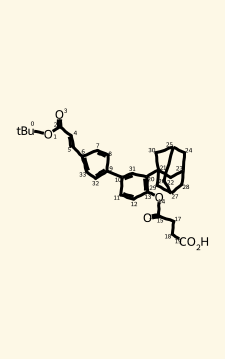 CC(C)(C)OC(=O)C=Cc1ccc(-c2ccc(OC(=O)CCC(=O)O)c(C34CC5CC(CC(C5)C3)C4)c2)cc1